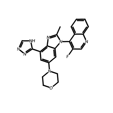 Cc1nc2c(-c3nnc[nH]3)cc(N3CCOCC3)cc2n1-c1c(F)cnc2ccccc12